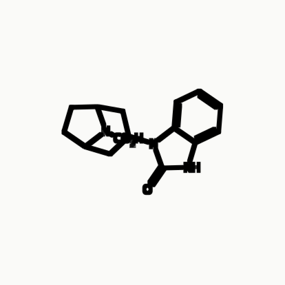 O=C(O)N1C2CCC1CC(n1c(=O)[nH]c3ccccc31)C2